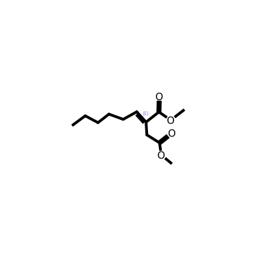 CCCCC/C=C(\CC(=O)OC)C(=O)OC